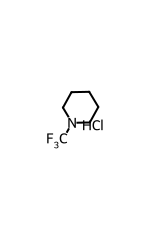 Cl.FC(F)(F)N1CCCCC1